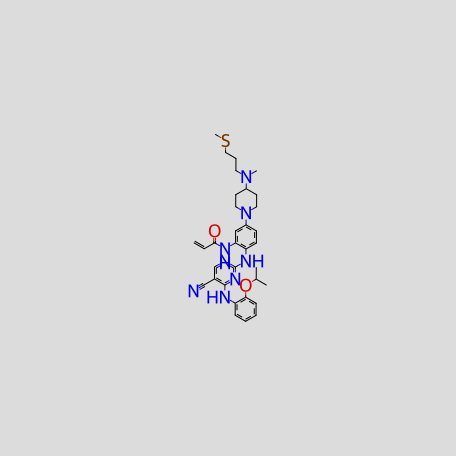 C=CC(=O)Nc1cc(N2CCC(N(C)CCCSC)CC2)ccc1Nc1ncc(C#N)c(Nc2ccccc2OC(C)C)n1